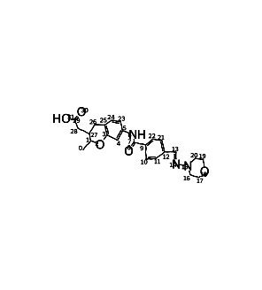 CC1Oc2cc(NC(=O)c3ccc(C=NN4CCOCC4)cc3)ccc2CC1CC(=O)O